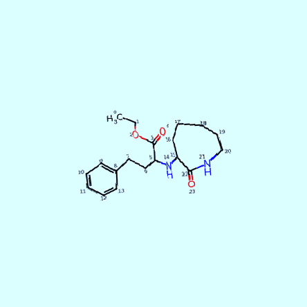 CCOC(=O)C(CCc1ccccc1)NC1CCCCCNC1=O